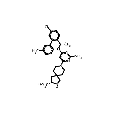 Cc1cccc(-c2cc(Cl)ccc2[C@@H](Oc2cc(N3CCC4(CC3)CN[C@H](C(=O)O)C4)nc(N)n2)C(F)(F)F)c1